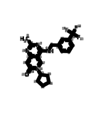 Cc1nc(NCc2cccc(C(F)(F)F)c2)c2cn(C3CCCC3)c(=O)cc2n1